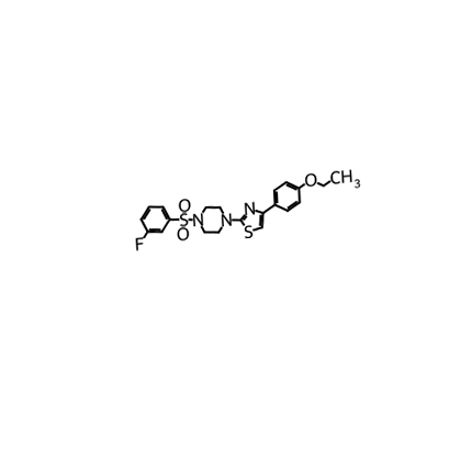 CCOc1ccc(-c2csc(N3CCN(S(=O)(=O)c4cccc(F)c4)CC3)n2)cc1